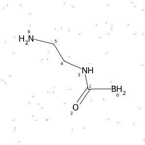 BC(=O)NCCN